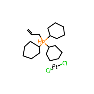 C=CC[PH](C1CCCCC1)(C1CCCCC1)C1CCCCC1.[Cl][Pt][Cl]